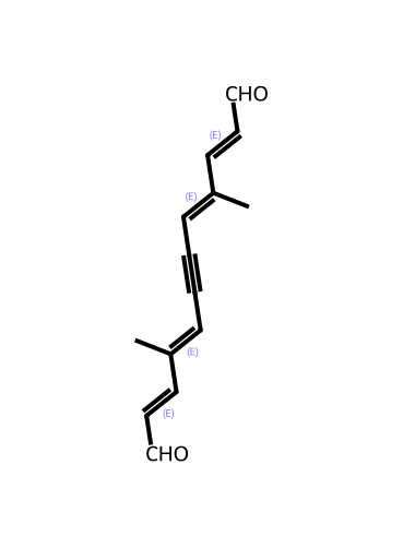 CC(/C=C/C=O)=C\C#C/C=C(C)/C=C/C=O